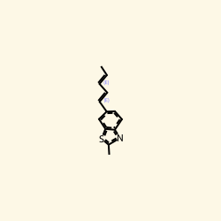 C/C=C/C=C/c1ccc2nc(C)sc2c1